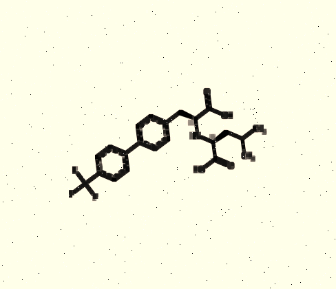 CC(C)C[C@H](N[C@@H](Cc1ccc(-c2ccc(C(F)(F)F)cc2)cc1)C(=O)O)C(=O)O